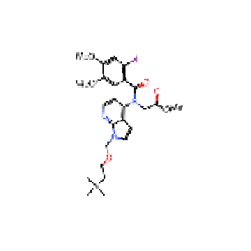 COC(=O)CN(C(=O)c1cc(OC)c(OC)cc1I)c1ccnc2c1ccn2COCC[Si](C)(C)C